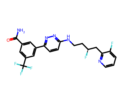 NC(=O)c1cc(-c2ccc(NCC[C@H](F)Cc3ncccc3F)nn2)cc(C(F)(F)F)c1